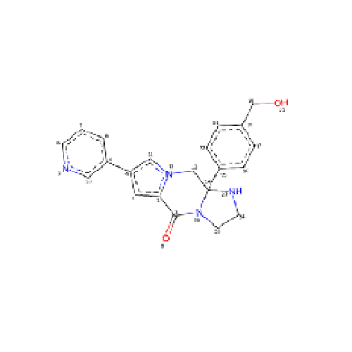 O=C1c2cc(-c3cccnc3)cn2CC2(c3ccc(CO)cc3)NCCN12